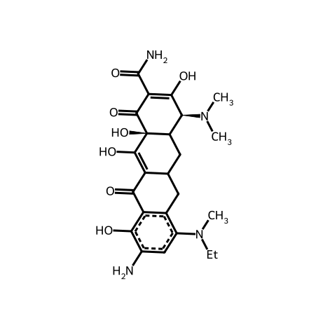 CCN(C)c1cc(N)c(O)c2c1CC1CC3[C@H](N(C)C)C(O)=C(C(N)=O)C(=O)[C@@]3(O)C(O)=C1C2=O